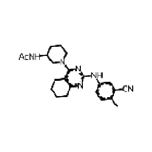 CC(=O)NC1CCCN(c2nc(Nc3ccc(C)c(C#N)c3)nc3c2CCCC3)C1